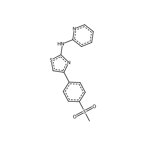 CS(=O)(=O)c1ccc(-c2csc(Nc3ccccn3)n2)cc1